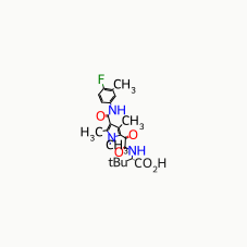 Cc1cc(NC(=O)c2c(C)c(C(=O)C(=O)N[C@H](C(=O)O)C(C)(C)C)n(C)c2C)ccc1F